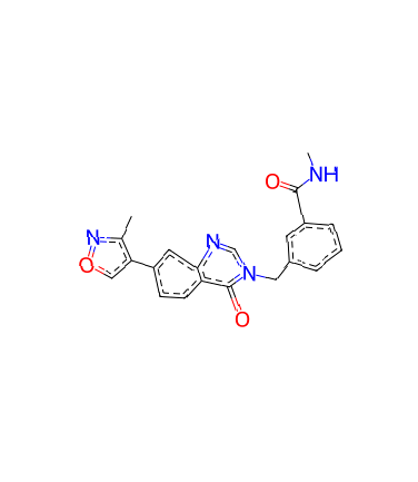 CNC(=O)c1cccc(Cn2cnc3cc(-c4conc4C)ccc3c2=O)c1